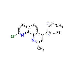 C/C=C\C(=C/CC)c1cc(C)nc2c1ccc1ccc(Cl)nc12